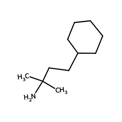 CC(C)(N)CCC1CCCCC1